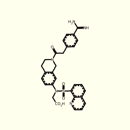 N=C(N)c1ccc(CC(=O)N2CCc3ccc(N(CC(=O)O)S(=O)(=O)c4cccc5cccnc45)cc3C2)cc1